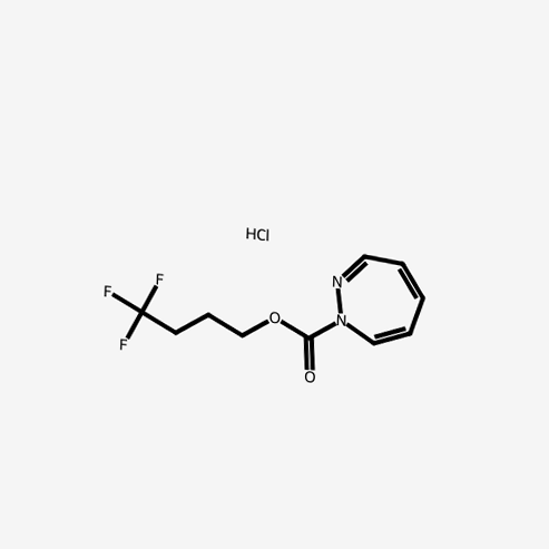 Cl.O=C(OCCCC(F)(F)F)N1C=CC=CC=N1